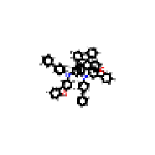 c1ccc(-c2ccc(N(c3cc(-c4cccc5c4C4(c6ccccc6-c6ccccc64)c4ccccc4-5)cc(N(c4ccc(-c5ccccc5)cc4)c4ccc5oc6ccccc6c5c4)c3)c3ccc4oc5ccccc5c4c3)cc2)cc1